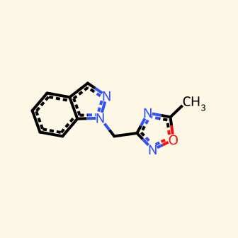 Cc1nc(Cn2ncc3ccccc32)no1